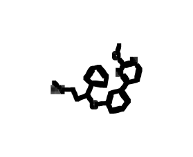 CNCCC(Oc1cccc(-c2ccnc(OC)n2)c1)c1ccccc1